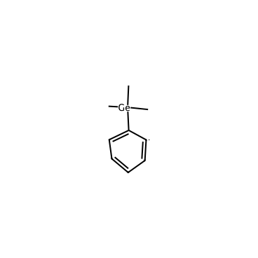 [CH3][Ge]([CH3])([CH3])[c]1[c]cccc1